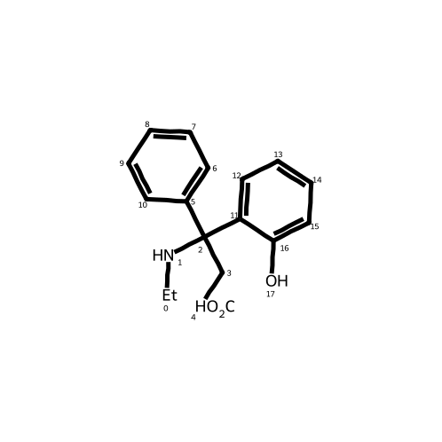 CCNC(CC(=O)O)(c1ccccc1)c1ccccc1O